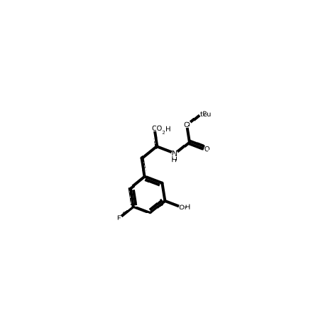 CC(C)(C)OC(=O)NC(Cc1cc(O)cc(F)c1)C(=O)O